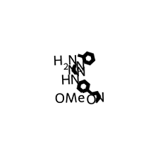 COc1cc(Nc2nc(N)n(-c3ccccc3C)n2)ccc1-c1cnco1